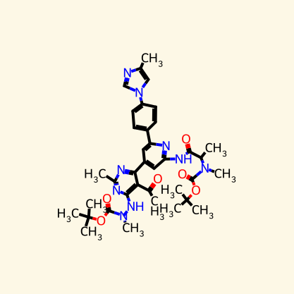 CC(=O)c1c(NN(C)C(=O)OC(C)(C)C)nc(C)nc1-c1cc(NC(=O)C(C)N(C)C(=O)OC(C)(C)C)nc(-c2ccc(-n3cnc(C)c3)cc2)c1